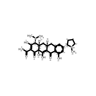 CN(C)[C@@H]1C(O)=C(C(N)=O)C(=O)[C@@]2(O)C(O)=C3C(=O)c4c(O)cc([C@@H]5CCCN5C)cc4C[C@H]3C[C@@H]12